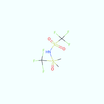 CS(C)(=O)(NS(=O)(=O)C(F)(F)F)C(F)(F)F